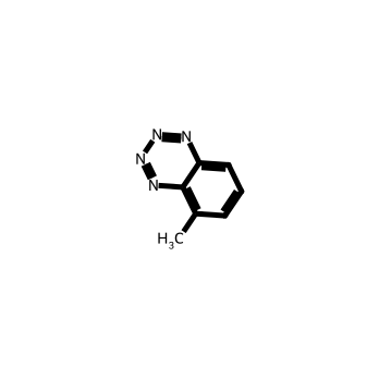 Cc1cccc2nnnnc12